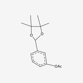 CC(=O)Oc1cccc(C2OC(C)(C)C(C)(C)O2)c1